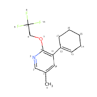 Cc1cnc(OCC(F)(F)F)c(C2=CCCCC2)c1